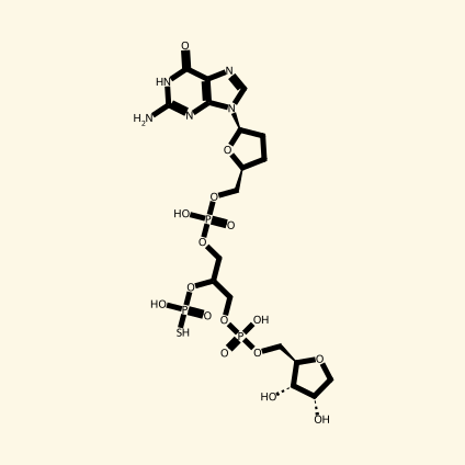 Nc1nc2c(ncn2[C@H]2CC[C@@H](COP(=O)(O)OCC(COP(=O)(O)OC[C@H]3OC[C@H](O)[C@@H]3O)OP(=O)(O)S)O2)c(=O)[nH]1